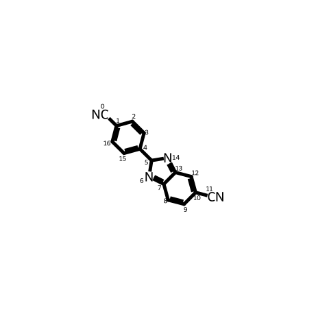 N#Cc1ccc(C2N=c3ccc(C#N)cc3=N2)cc1